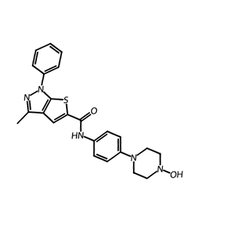 Cc1nn(-c2ccccc2)c2sc(C(=O)Nc3ccc(N4CCN(O)CC4)cc3)cc12